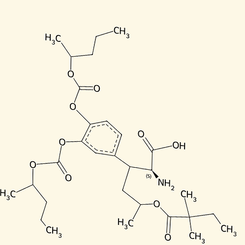 CCCC(C)OC(=O)Oc1ccc(C(CC(C)OC(=O)C(C)(C)CC)[C@H](N)C(=O)O)cc1OC(=O)OC(C)CCC